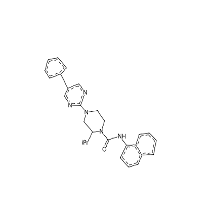 CC(C)C1CN(c2ncc(-c3ccccc3)cn2)CCN1C(=O)Nc1cccc2ccccc12